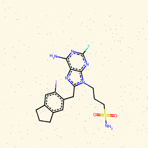 Nc1nc(F)nc2c1nc(Cc1cc3c(cc1I)CCC3)n2CCCS(N)(=O)=O